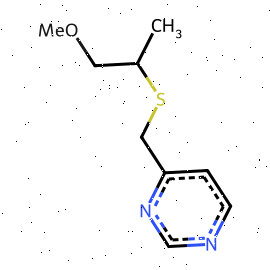 COCC(C)SCc1ccncn1